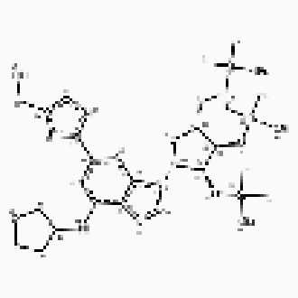 CC(C)(C)[Si](C)(C)OC[C@H]1O[C@@H](n2cnc3c(NC4CCOC4)nc(-n4cc(CO)cn4)nc32)[C@H](O[Si](C)(C)C(C)(C)C)[C@@H]1O[Si](C)(C)C(C)(C)C